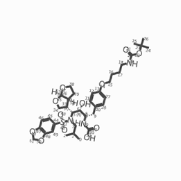 CC(C)CN(C([C@H](O)[C@H](Cc1ccc(OCCCCNC(=O)OC(C)(C)C)cc1)NC(=O)O)[C@@H]1CO[C@H]2OCC[C@H]21)S(=O)(=O)c1ccc2c(c1)OCO2